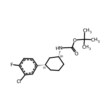 CC(C)(C)OC(=O)N[C@@H]1CCC[C@H](c2ccc(F)c(Cl)c2)C1